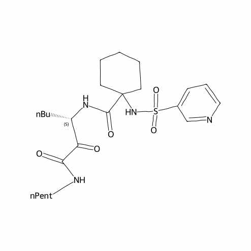 CCCCCNC(=O)C(=O)[C@H](CCCC)NC(=O)C1(NS(=O)(=O)c2cccnc2)CCCCC1